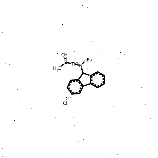 C[SiH](C)[Ti+2][N](C1c2ccccc2-c2ccccc21)C(C)(C)C.[Cl-].[Cl-]